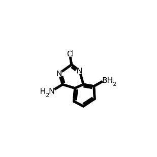 Bc1cccc2c(N)nc(Cl)nc12